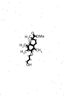 COC(=O)C1(C)CCc2c(C)c(OCCCO)c(C)c(C)c2O1